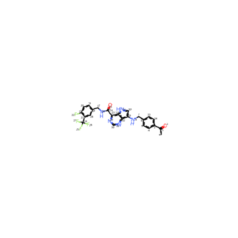 CC(=O)c1ccc(CNc2c[nH]c3c(C(=O)NCc4ccc(F)c(C(F)(F)F)c4)ncnc23)cc1